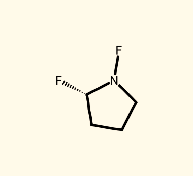 F[C@H]1CCCN1F